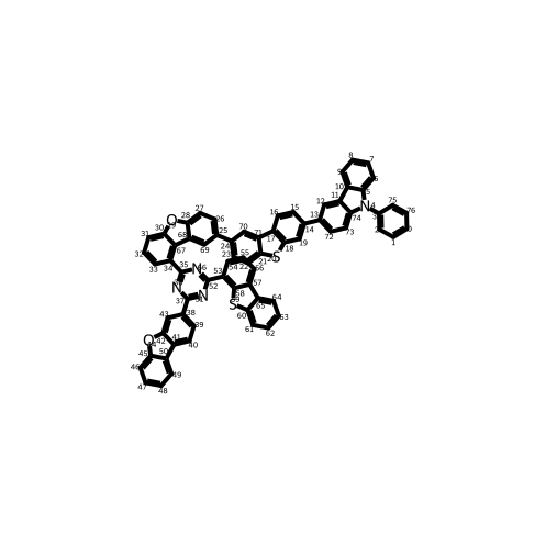 c1ccc(-n2c3ccccc3c3cc(-c4ccc5c(c4)sc4ccc(-c6ccc7oc8cccc(-c9nc(-c%10ccc%11c(c%10)oc%10ccccc%10%11)nc(-c%10cccc%11c%10sc%10ccccc%10%11)n9)c8c7c6)cc45)ccc32)cc1